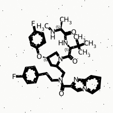 CN[C@@H](C)C(=O)N[C@H](C(=O)N1C[C@@H](Oc2ccc(F)cc2)CC1CN(CCc1ccc(F)cc1)C(=O)c1cn2ccccc2n1)C(C)(C)C